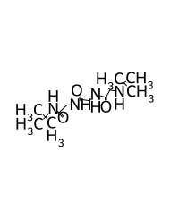 CC(C)(C)NCC(=O)NCC(=O)NCC(=O)NC(C)(C)C